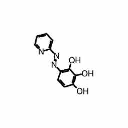 Oc1ccc(N=Nc2ccccn2)c(O)c1O